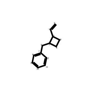 C=CC1CCC1Cc1ccccc1